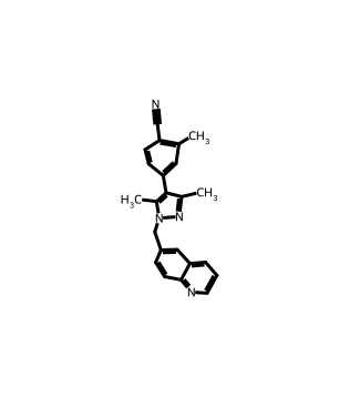 Cc1cc(-c2c(C)nn(Cc3ccc4ncccc4c3)c2C)ccc1C#N